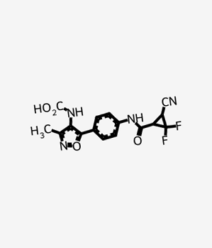 Cc1noc(-c2ccc(NC(=O)C3C(C#N)C3(F)F)cc2)c1NC(=O)O